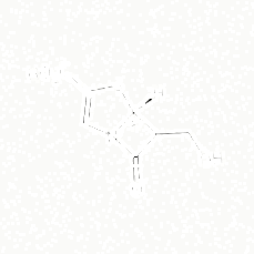 O=C(O)C1=CN2C(=O)C(CO)[C@H]2S1